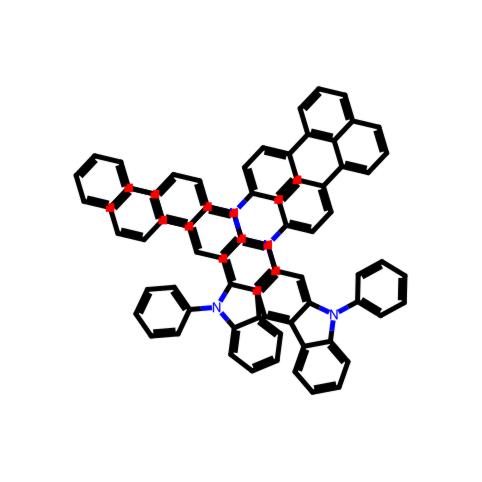 c1ccc(-c2ccc(N(c3ccc(-c4cccc5cccc(-c6ccc(N(c7ccc(-c8ccccc8)cc7)c7ccc8c9ccccc9n(-c9ccccc9)c8c7)cc6)c45)cc3)c3ccc4c5ccccc5n(-c5ccccc5)c4c3)cc2)cc1